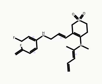 C=C/C=C(\C)N(C)C1=C(/C=C/CNC(/C=C\C(=C)F)=C/CF)CS(=O)(=O)CC1